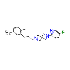 CCc1ccc(C)c(CCCN2CC3(C2)CN(c2ccc(F)cn2)C3)c1